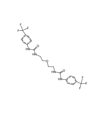 O=C(NCCOCCNC(=O)Nc1ccc(C(F)(F)F)cc1)Nc1ccc(C(F)(F)F)cc1